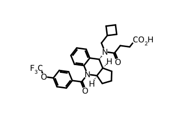 O=C(O)CCC(=O)N(CC1CCC1)[C@H]1c2ccccc2N(C(=O)c2ccc(OC(F)(F)F)cc2)[C@@H]2CCC[C@@H]21